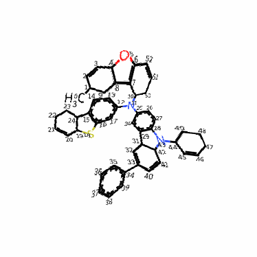 CC1C=CC2OC3=C(C2C1)C(N(c1ccc2c(c1)SC1C=CCCC21)c1ccc2c(c1)C1C=C(c4ccccc4)C=CC1N2C1C=CCCC1)CC=C3